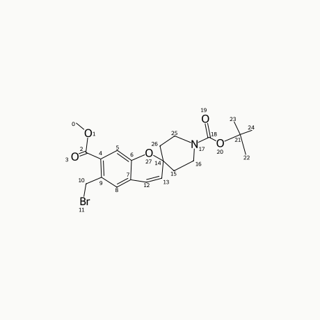 COC(=O)c1cc2c(cc1CBr)C=CC1(CCN(C(=O)OC(C)(C)C)CC1)O2